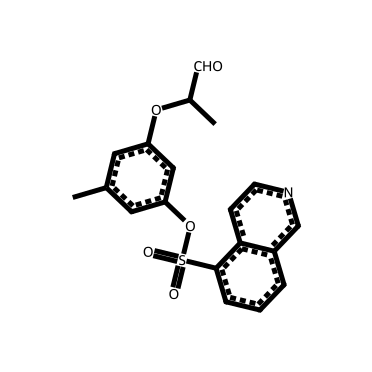 Cc1cc(OC(C)C=O)cc(OS(=O)(=O)c2cccc3cnccc23)c1